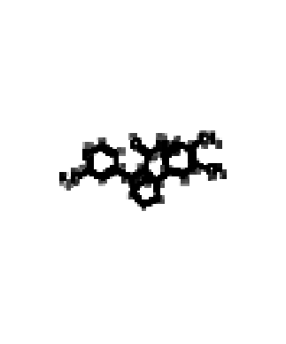 Cc1ccc(C23CCC(O2)C(c2ccnc(C(F)(F)F)c2)C3C(N)=O)cc1C(F)(F)F